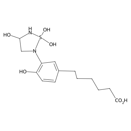 O=C(O)CCCCCc1ccc(O)c(N2CC(O)NS2(O)O)c1